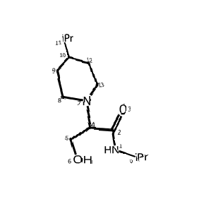 CC(C)NC(=O)C(CO)N1CCC(C(C)C)CC1